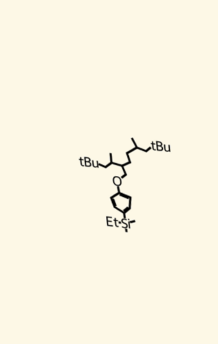 [CH2]C[Si](C)(C)c1ccc(OCC(CCC(C)CC(C)(C)C)C(C)CC(C)(C)C)cc1